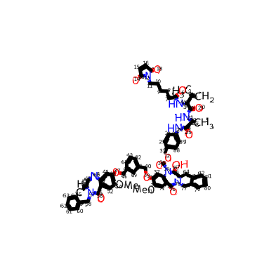 C=C(C)[C@H](NC(=O)CCCCCN1C(=O)C=CC1=O)C(=O)N[C@@H](C)C(=O)Nc1ccc(COC(=O)N2c3cc(OCc4cccc(COc5cc6c(cc5OC)C(=O)N5Cc7ccccc7C[C@H]5C=N6)c4)c(OC)cc3C(=O)N3Cc4ccccc4CC3C2O)cc1